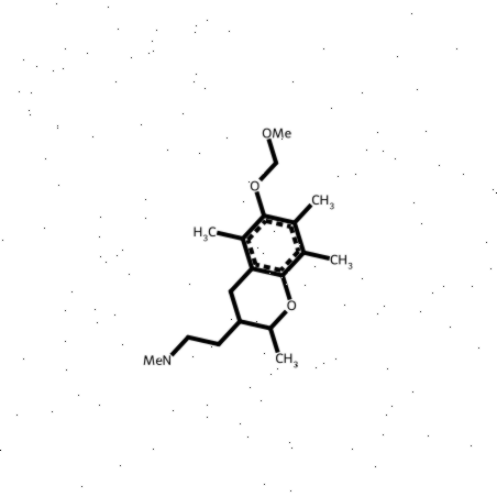 CNCCC1Cc2c(C)c(OCOC)c(C)c(C)c2OC1C